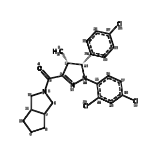 C[C@H]1C(C(=O)N2CC3CCCC3C2)=NN(c2ccc(Cl)cc2Cl)[C@H]1c1ccc(Cl)cc1